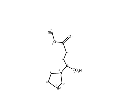 CC(C)(C)OC(=O)CCC(C(=O)O)N1CCNC1